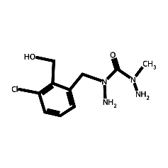 CN(N)C(=O)N(N)Cc1cccc(Cl)c1CO